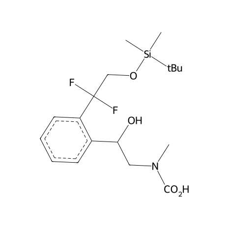 CN(CC(O)c1ccccc1C(F)(F)CO[Si](C)(C)C(C)(C)C)C(=O)O